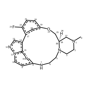 CN1CCN2CCNc3ccn4ncc(c4n3)-c3cc(ccc3F)OC[C@H]2C1